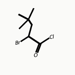 CC(C)(C)CC(Br)C(=O)Cl